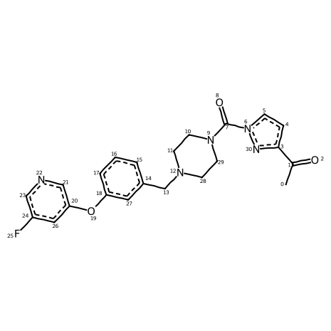 CC(=O)c1ccn(C(=O)N2CCN(Cc3cccc(Oc4cncc(F)c4)c3)CC2)n1